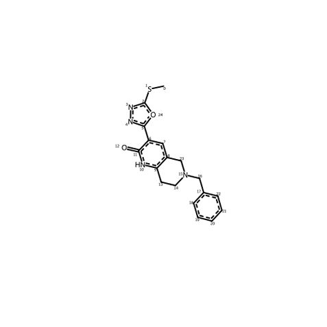 CSc1nnc(-c2cc3c([nH]c2=O)CCN(Cc2ccccc2)C3)o1